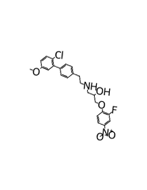 COc1ccc(Cl)c(-c2ccc(CCNCC(O)COc3ccc([N+](=O)[O-])cc3F)cc2)c1